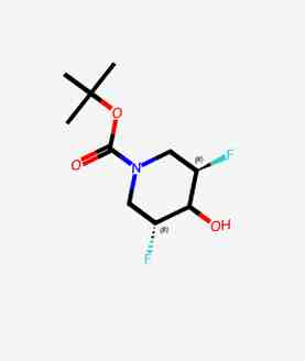 CC(C)(C)OC(=O)N1C[C@@H](F)C(O)[C@H](F)C1